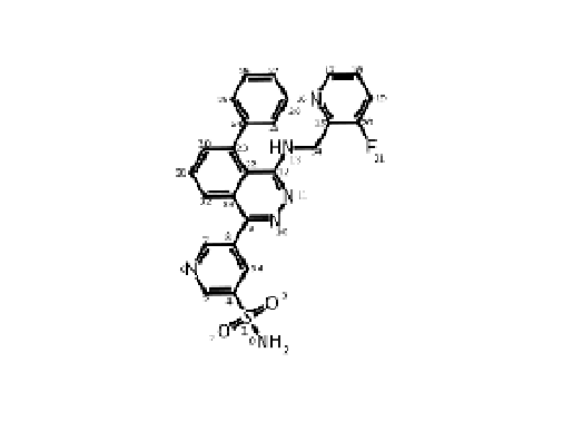 NS(=O)(=O)c1cncc(-c2nnc(NCc3ncccc3F)c3c(-c4ccccc4)cccc23)c1